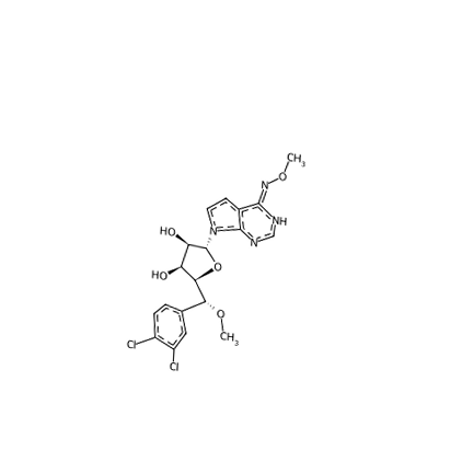 CON=c1[nH]cnc2c1ccn2[C@@H]1O[C@@H]([C@H](OC)c2ccc(Cl)c(Cl)c2)[C@@H](O)[C@H]1O